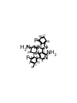 Cc1cc(F)cc(-c2cnc(N)c(-c3nc4cccc(F)c4[nH]3)c2N2CCC(N)CC2)c1